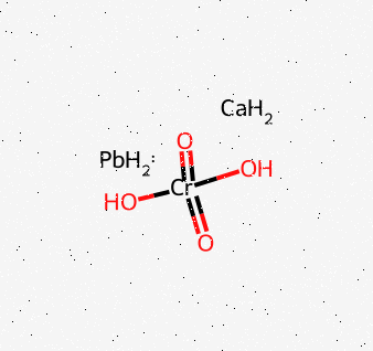 [CaH2].[O]=[Cr](=[O])([OH])[OH].[PbH2]